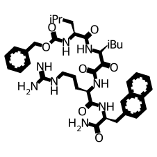 CC[C@H](C)C(NC(=O)[C@H](CC(C)C)NC(=O)OCc1ccccc1)C(=O)C(=O)N[C@H](CCCNC(=N)N)C(=O)N[C@@H](Cc1ccc2ccccc2c1)C(N)=O